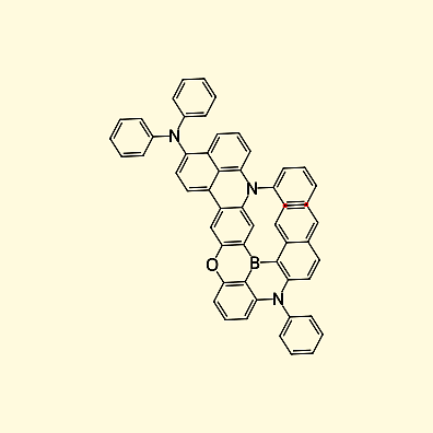 c1ccc(N2c3cccc4c3B(c3cc5c(cc3O4)-c3ccc(N(c4ccccc4)c4ccccc4)c4cccc(c34)N5c3ccccc3)c3c2ccc2ccccc32)cc1